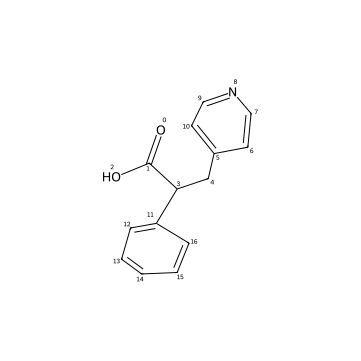 O=C(O)C(Cc1ccncc1)c1ccccc1